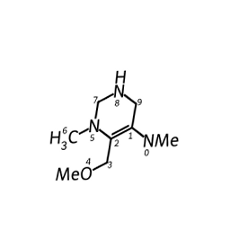 CNC1=C(COC)N(C)CNC1